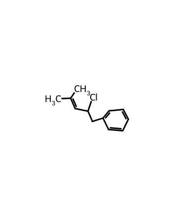 CC(C)=CC(Cl)Cc1ccccc1